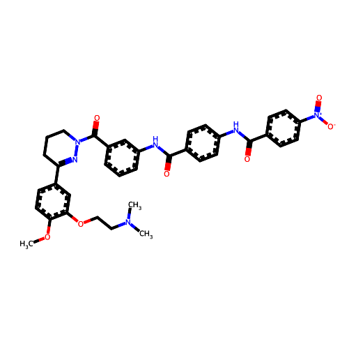 COc1ccc(C2=NN(C(=O)c3cccc(NC(=O)c4ccc(NC(=O)c5ccc([N+](=O)[O-])cc5)cc4)c3)CCC2)cc1OCCN(C)C